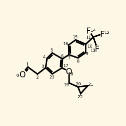 O=CCc1ccc(-c2ccc(C(F)(F)F)cc2)c(OCC2CC2)c1